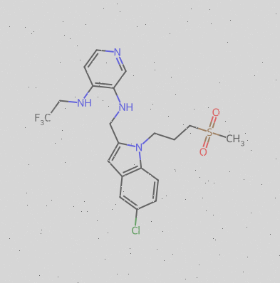 CS(=O)(=O)CCCn1c(CNc2cnccc2NCC(F)(F)F)cc2cc(Cl)ccc21